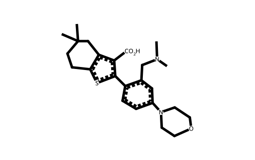 CN(C)Cc1cc(N2CCOCC2)ccc1-c1sc2c(c1C(=O)O)CC(C)(C)CC2